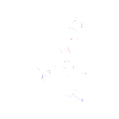 COC(=O)C(CCCNC(=N)N)NC(=O)C(CCCNC(=N)N)NC(=O)OCc1ccccc1